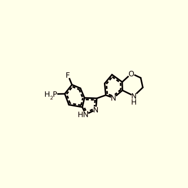 Fc1cc2c(-c3ccc4c(n3)NCCO4)n[nH]c2cc1P